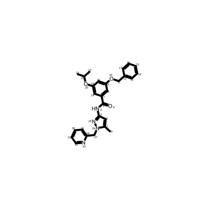 Cc1cc(NC(=O)c2cc(OCc3ccccc3)cc(OC(C)C)c2)nn1Cc1ccccn1